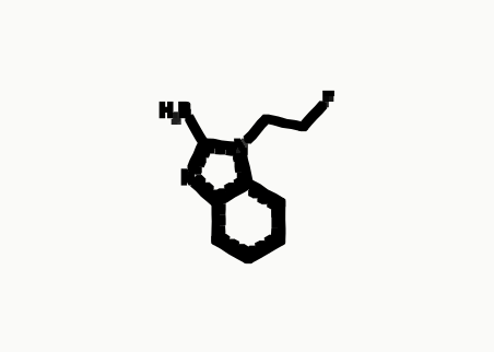 Bc1nc2ccccc2n1CCF